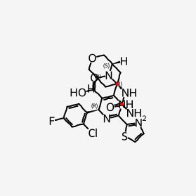 NC(=O)N[C@@H]1C[C@H]2COC[C@@H](C1)N2CC1=C(C(=O)O)[C@H](c2ccc(F)cc2Cl)N=C(c2nccs2)N1